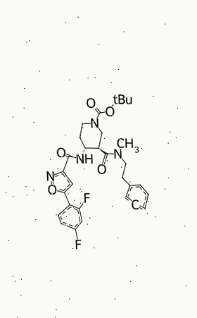 CN(CCc1ccccc1)C(=O)[C@@H]1CN(C(=O)OC(C)(C)C)CC[C@H]1NC(=O)c1cc(-c2ccc(F)cc2F)on1